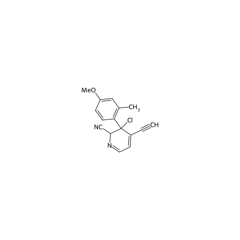 C#CC1=CC=NC(C#N)C1(Cl)c1ccc(OC)cc1C